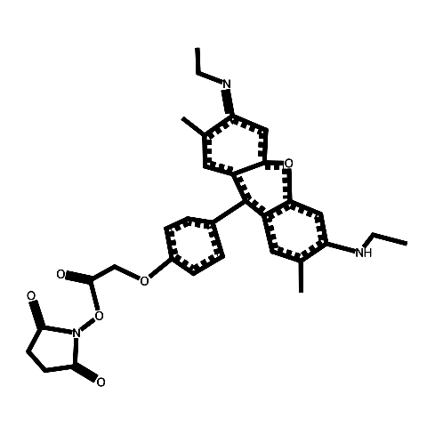 CC/N=c1/cc2oc3cc(NCC)c(C)cc3c(-c3ccc(OCC(=O)ON4C(=O)CCC4=O)cc3)c-2cc1C